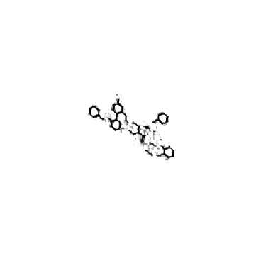 CCOc1cccc(F)c1CN1CCN(C(=O)[C@H](NC(=O)OCc2ccccc2)C2CCN(CCc3cc(Cl)ccc3-c3cc(Cl)ccc3OCc3ccccc3)CC2)CC1